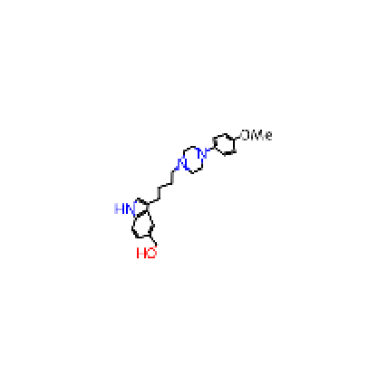 COc1ccc(N2CCN(CCCCc3c[nH]c4ccc(CO)cc34)CC2)cc1